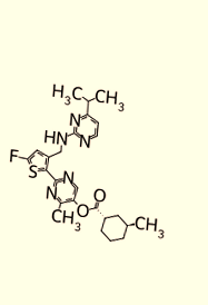 Cc1nc(-c2sc(F)cc2CNc2nccc(C(C)C)n2)ncc1OC(=O)[C@H]1CCC[C@H](C)C1